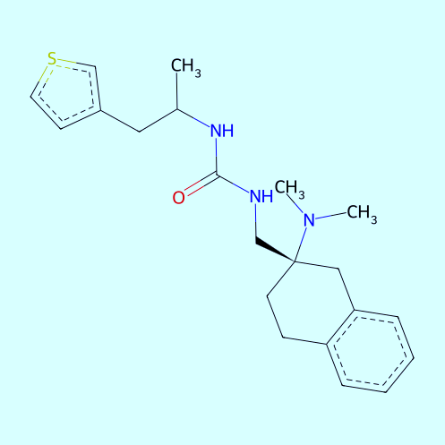 CC(Cc1ccsc1)NC(=O)NC[C@]1(N(C)C)CCc2ccccc2C1